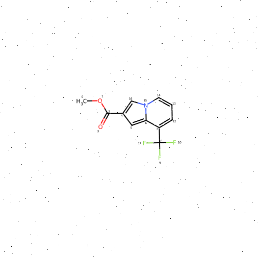 COC(=O)c1cc2c(C(F)(F)F)cccn2c1